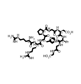 CC(C)[C@H](NC(=O)[C@H](CC(=O)O)NC(=O)CNC(=O)[C@@H]1CCCN1C(=O)[C@H](Cc1c[nH]cn1)NC(=O)[C@H](CCCNC(=N)N)NC(=O)[C@@H](N)CCCNC(=N)N)C(=O)NCC(=O)NCC(=O)O